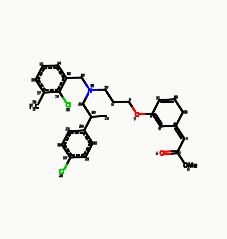 COC(=O)C=C1C=C(OCCCN(Cc2cccc(C(F)(F)F)c2Cl)CC(C)c2ccc(Cl)cc2)C=CC1